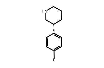 Fc1ccc([C@H]2CCCNC2)cc1